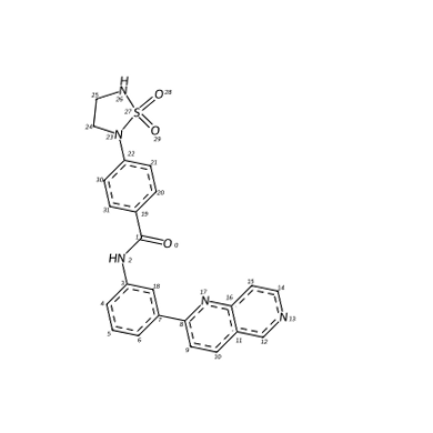 O=C(Nc1cccc(-c2ccc3cnccc3n2)c1)c1ccc(N2CCNS2(=O)=O)cc1